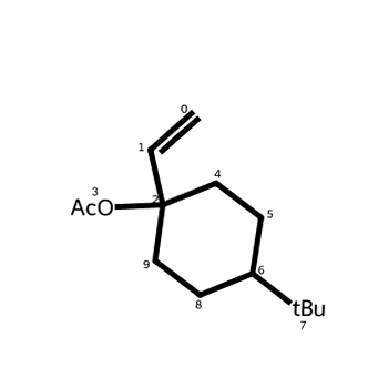 C=CC1(OC(C)=O)CCC(C(C)(C)C)CC1